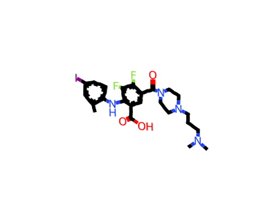 Cc1cc(I)ccc1Nc1c(C(=O)O)cc(C(=O)N2CCN(CCCN(C)C)CC2)c(F)c1F